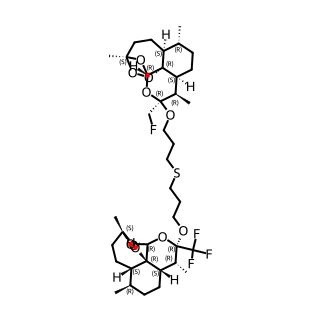 C[C@@H]1CC[C@H]2[C@@H](C)[C@@](CF)(OCCCSCCCO[C@@]3(C(F)(F)F)O[C@@H]4O[C@]5(C)CC[C@H]6[C@H](C)CC[C@@H]([C@H]3C)[C@@]46OO5)O[C@@H]3O[C@]4(C)CC[C@@H]1[C@]32OO4